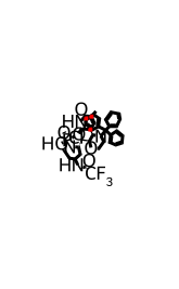 CC1=CC([C@@H]2[C@H](C[C@@H]3CC(NC(=O)C(F)(F)F)CCN3P(=O)(O)Cl)OCCN2C(c2ccccc2)(c2ccccc2)c2ccccc2)C(=O)NC1=O